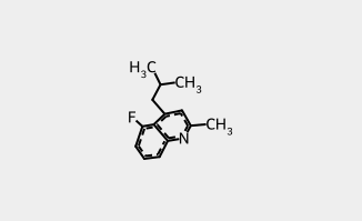 Cc1cc(CC(C)C)c2c(F)cccc2n1